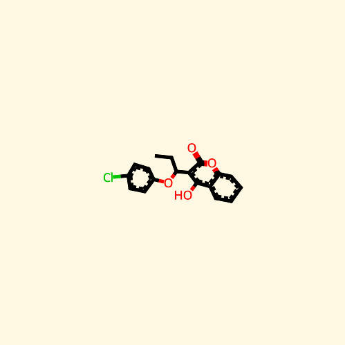 CCC(Oc1ccc(Cl)cc1)c1c(O)c2ccccc2oc1=O